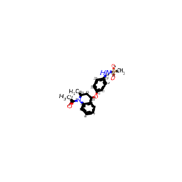 CC(=O)N1c2ccccc2C(Oc2ccc(NS(C)(=O)=O)cc2)CC1C